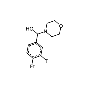 CCc1ccc(C(O)N2CCOCC2)cc1F